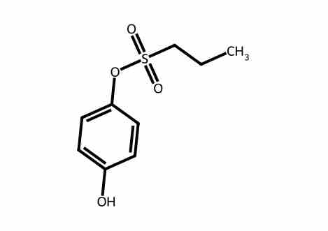 CCCS(=O)(=O)Oc1ccc(O)cc1